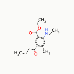 CCCC(=O)c1cc(C(=O)OCC)c(NCC)cc1C